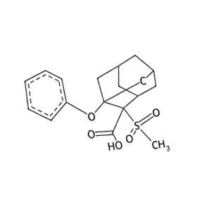 CS(=O)(=O)C1(C(=O)O)C2CC3CC(C2)CC1(Oc1ccccc1)C3